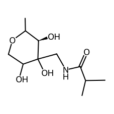 CC(C)C(=O)NCC1(O)C(O)COC(C)[C@H]1O